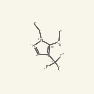 CCn1n[c]c(C(F)(F)F)c1OC